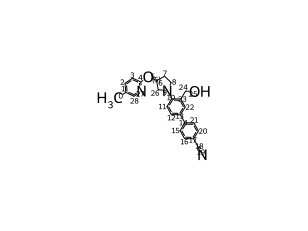 Cc1ccc(O[C@H]2CCN(c3ccc(-c4ccc(C#N)cc4)cc3CO)C2)nc1